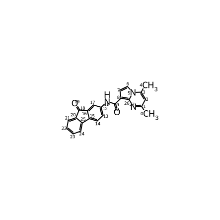 Cc1cc(C)n2ccc(C(=O)Nc3ccc4c(c3)C(=O)c3ccccc3-4)c2n1